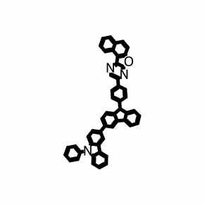 c1ccc(-n2c3ccccc3c3cc(-c4ccc5c(c4)-c4ccccc4C5c4ccc(-c5cnc6c(n5)oc5ccc7ccccc7c56)cc4)ccc32)cc1